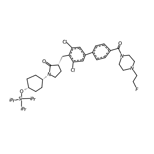 CC(C)[Si](O[C@H]1CC[C@@H](N2CC[C@@H](Cc3c(Cl)cc(-c4ccc(C(=O)N5CCN(CCF)CC5)cc4)cc3Cl)C2=O)CC1)(C(C)C)C(C)C